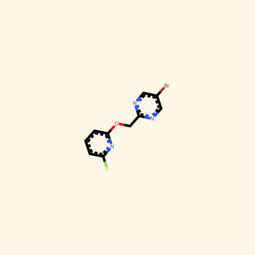 Fc1cccc(OCc2ncc(Br)cn2)n1